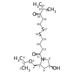 CC(C)OC[C@@H]1C[C@H](O)CN1C(=O)CCCSSCCC(=O)C(C)C